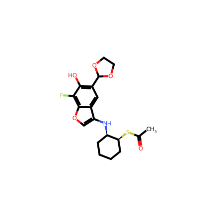 CC(=O)S[C@H]1CCCC[C@H]1Nc1coc2c(F)c(O)c(C3OCCO3)cc12